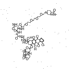 CNC(=O)C1CCN(CCOCCOCCOCCOCCC(=O)N[C@@H](CC(N)=O)C(=O)N[C@@H](C)C(=O)NCCNC(=O)[C@]2(O)Cc3c(O)c4c(c(O)c3[C@@H](O[C@H]3C[C@H]5[C@H](O[C@@H]6[C@@H](OC)OCCN65)[C@H](C)O3)C2)C(=O)c2c(OC)cccc2C4=O)CC1